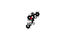 O=C(NCc1ccccn1)c1cc(C(=O)c2c(-c3ccccc3)noc2-c2ccccc2)c[nH]1